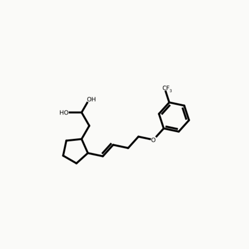 OC(O)CC1CCCC1/C=C/CCOc1cccc(C(F)(F)F)c1